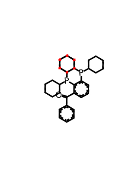 O=C(c1ccccc1)c1cccc(P(C2CCCCC2)C2CCCCC2)c1P(C1CCCCC1)C1CCCCC1